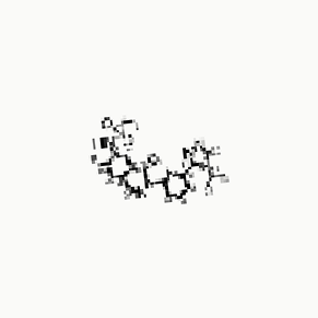 CCS(=O)(=O)Nc1cc2c(=O)n(-c3cccc(-c4nncn4C(C)C)n3)ncc2cc1C